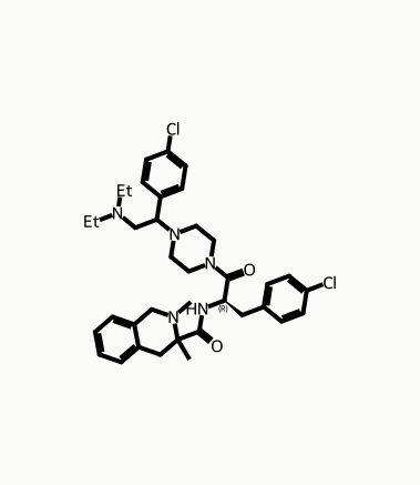 CCN(CC)CC(c1ccc(Cl)cc1)N1CCN(C(=O)[C@@H](Cc2ccc(Cl)cc2)NC(=O)C2(C)Cc3ccccc3CN2C)CC1